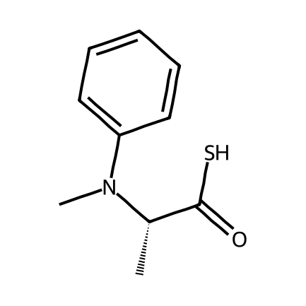 C[C@@H](C(=O)S)N(C)c1ccccc1